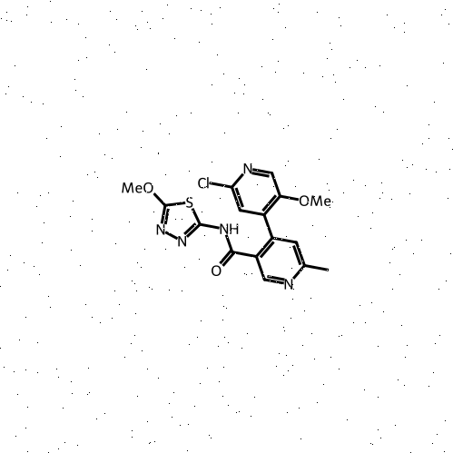 COc1nnc(NC(=O)c2cnc(C)cc2-c2cc(Cl)ncc2OC)s1